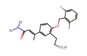 CCN(CC)C(=O)/C=C(\C)c1ccc(OCc2c(F)cccc2F)c(CCC(=O)O)c1